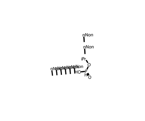 CC(C)O[PH](=O)O.CCCCCCCCCC.CCCCCCCCCC.CCCCCCCCCC.CCCCCCCCCC.CCCCCCCCCC.CCCCCCCCCC.CCCCCCCCCC.CCCCCCCCCC